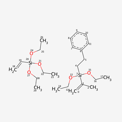 C=C(C)[Si](CCc1ccccc1)(OCC)OCC.C=C[Si](OCC)(OCC)OCC